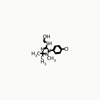 CN1N(c2ccc(Cl)cc2)C([SH]=CO)=NC1(C)C